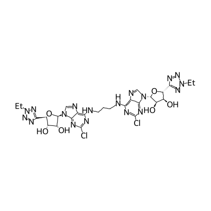 CCn1nnc([C@H]2O[C@@H](n3cnc4c(NCCCNc5nc(Cl)nc6c5ncn6[C@@H]5O[C@H](c6nnn(CC)n6)[C@@H](O)[C@H]5O)nc(Cl)nc43)[C@H](O)[C@@H]2O)n1